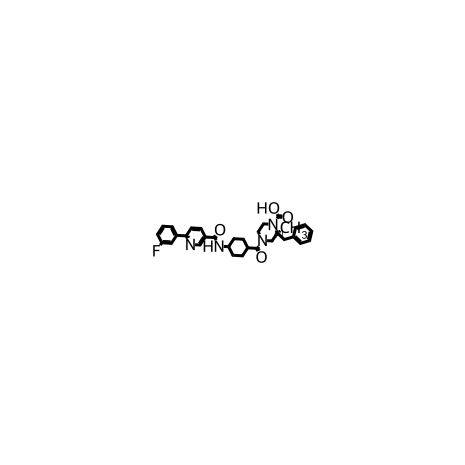 C[C@@]1(Cc2ccccc2)CN(C(=O)C2CCC(NC(=O)c3ccc(-c4cccc(F)c4)nc3)CC2)CCN1C(=O)O